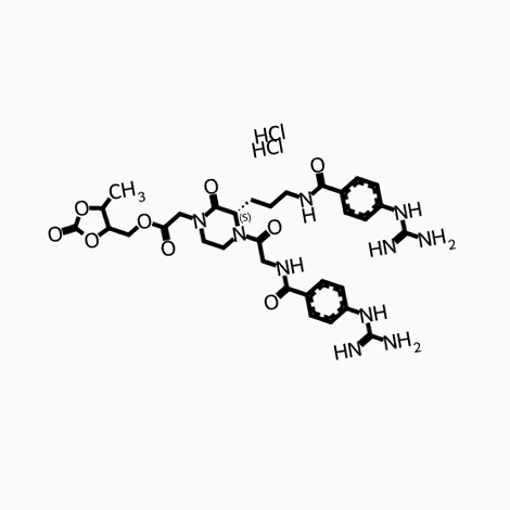 CC1OC(=O)OC1COC(=O)CN1CCN(C(=O)CNC(=O)c2ccc(NC(=N)N)cc2)[C@@H](CCCNC(=O)c2ccc(NC(=N)N)cc2)C1=O.Cl.Cl